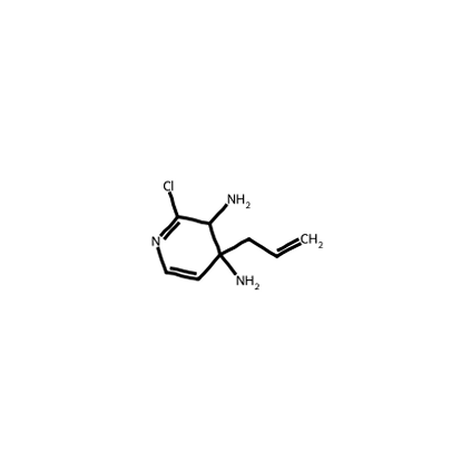 C=CCC1(N)C=CN=C(Cl)C1N